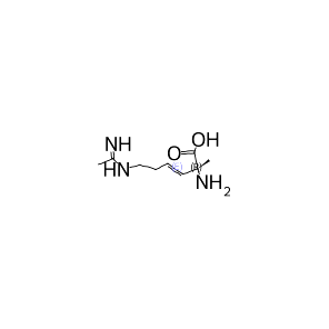 CC(=N)NCC/C=C/[C@@](C)(N)C(=O)O